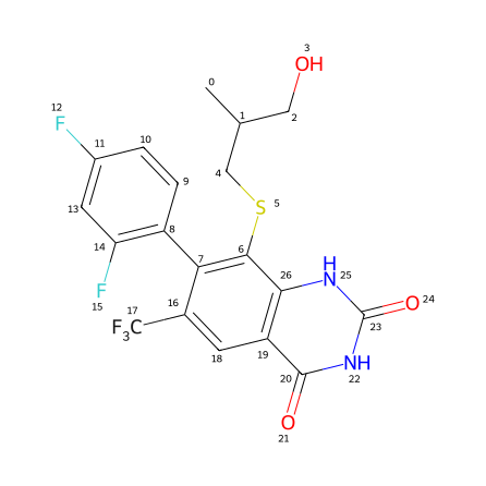 CC(CO)CSc1c(-c2ccc(F)cc2F)c(C(F)(F)F)cc2c(=O)[nH]c(=O)[nH]c12